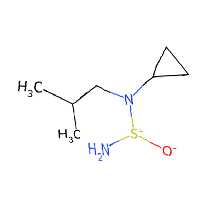 CC(C)CN(C1CC1)[S+](N)[O-]